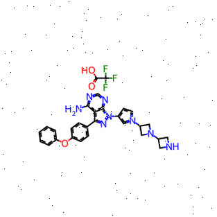 Nc1ncnc2c1c(-c1ccc(Oc3ccccc3)cc1)nn2-c1ccn(C2CN(C3CNC3)C2)c1.O=C(O)C(F)(F)F